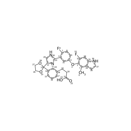 Cc1c(Oc2ccc(F)c(-c3nc(C4(c5cccc(CCC(=O)O)c5)OCCO4)c[nH]3)c2)c(F)cc2[nH]ccc12